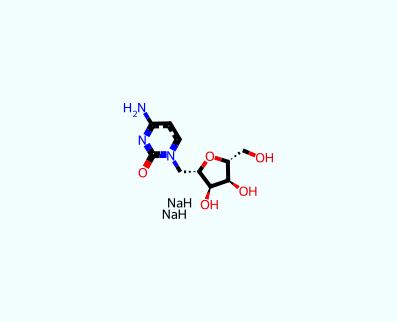 Nc1ccn(C[C@@H]2O[C@H](CO)[C@@H](O)[C@H]2O)c(=O)n1.[NaH].[NaH]